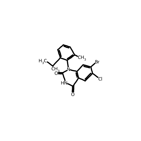 Cc1cccc(C(C)C)c1-n1c(=O)[nH]c(=O)c2cc(Cl)c(Br)cc21